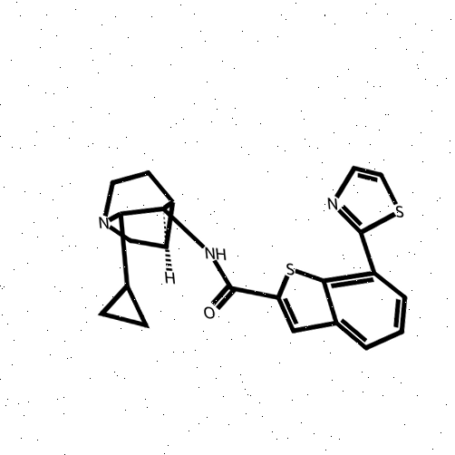 O=C(N[C@@H]1C2CCN(CC2)C1C1CC1)c1cc2cccc(-c3nccs3)c2s1